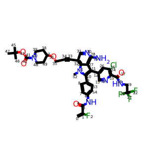 C=C(F)C(=O)Nc1ccc(-c2c(-c3cnc(C(=O)NCC(F)(F)F)c(Cl)c3)c3c(N)ncc(C#CCOC4CCN(C(=O)OC(C)(C)C)CC4)c3n2C)cc1